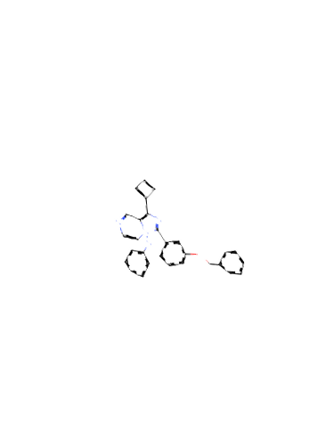 C1=CC(C2=C3C=NC=C[N+]3(Nc3ccccc3)C(c3cccc(OCc4ccccc4)c3)=N2)=C1